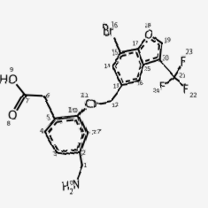 NCc1ccc(CC(=O)O)c(OCc2cc(Br)c3occ(C(F)(F)F)c3c2)c1